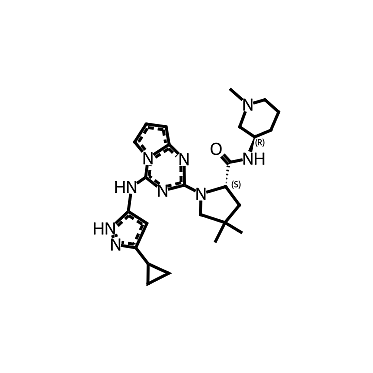 CN1CCC[C@@H](NC(=O)[C@@H]2CC(C)(C)CN2c2nc(Nc3cc(C4CC4)n[nH]3)n3cccc3n2)C1